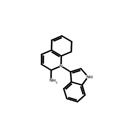 NC1C=CC2=C(CCC=C2)N1c1c[nH]c2ccccc12